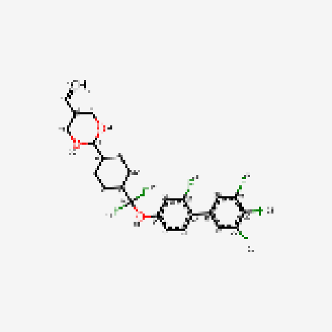 C=CC1COC(C2CCC(C(F)(F)Oc3ccc(-c4cc(F)c(F)c(F)c4)c(F)c3)CC2)OC1